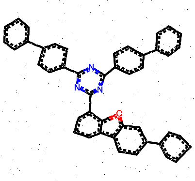 c1ccc(-c2ccc(-c3nc(-c4ccc(-c5ccccc5)cc4)nc(-c4cccc5c4oc4cc(-c6ccccc6)ccc45)n3)cc2)cc1